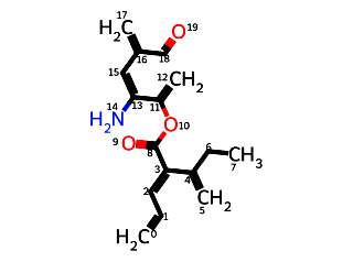 C=C/C=C(\C(=C)CC)C(=O)OC(=C)/C(N)=C\C(=C)C=O